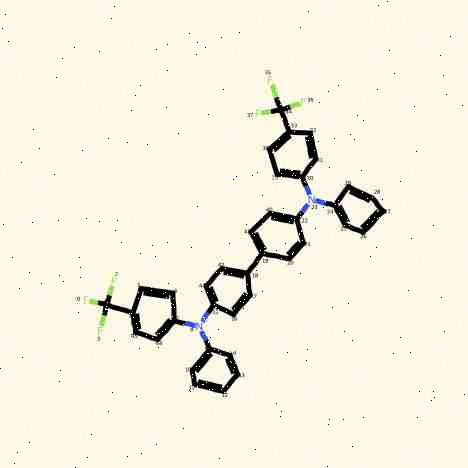 FC(F)(F)c1ccc(N(c2ccccc2)c2ccc(-c3ccc(N(c4ccccc4)c4ccc(C(F)(F)F)cc4)cc3)cc2)cc1